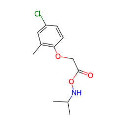 Cc1cc(Cl)ccc1OCC(=O)ONC(C)C